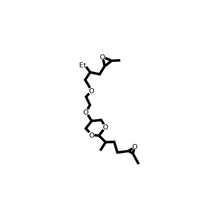 CCC(COCCOC1COC(C(C)CCC2OC2C)OC1)CC1OC1C